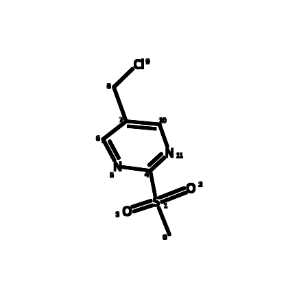 CS(=O)(=O)c1n[c]c(CCl)cn1